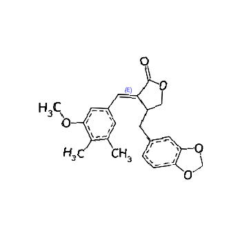 COc1cc(/C=C2/C(=O)OCC2Cc2ccc3c(c2)OCO3)cc(C)c1C